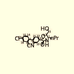 CCC[C@H](CCO)NS(=O)(=O)c1ccc(-c2ccc(Cl)cc2C#N)cc1